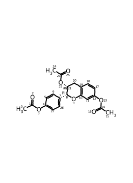 CC(=O)Oc1ccc([C@H]2Oc3cc(OC(C)=O)ccc3C[C@H]2OC(C)=O)cc1